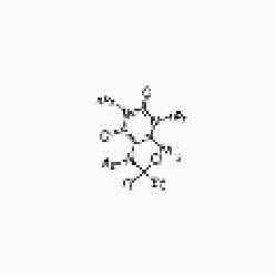 CCCn1c(N)c(N(C(C)=O)C(Cl)(Cl)CC)c(=O)n(CCC)c1=O